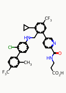 Cc1cc(C(F)(F)F)ccc1-c1ccc(NCc2c(-c3ccc(C(=O)NCCC(=O)O)nc3)cc(C(F)(F)F)cc2C2CC2)cc1Cl